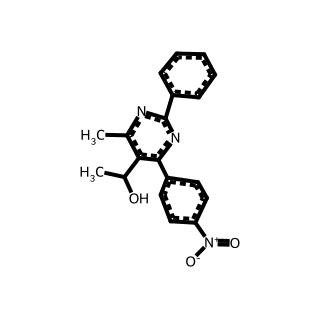 Cc1nc(-c2ccccc2)nc(-c2ccc([N+](=O)[O-])cc2)c1C(C)O